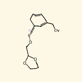 N#CCC1=C/C(=N\OCC2OCCO2)CC=C1